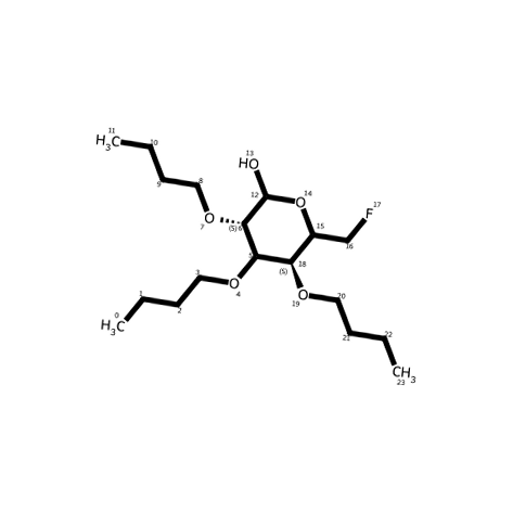 CCCCOC1[C@H](OCCCC)C(O)OC(CF)[C@H]1OCCCC